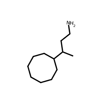 CC(CCN)C1CCCCCCC1